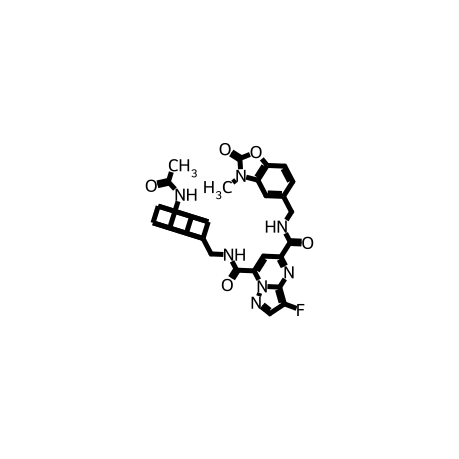 CC(=O)NC12C3C4C1C1C2C3C41CNC(=O)c1cc(C(=O)NCc2ccc3oc(=O)n(C)c3c2)nc2c(F)cnn12